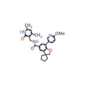 COc1ccc(-c2cc(C(=O)NCc3c(C)cc(C)[nH]c3=O)cc3c2OCC32CCCC2)cn1